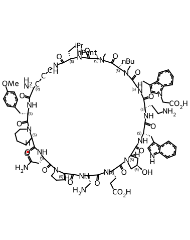 CCCCC[C@H]1C(=O)N[C@@H](CC(C)C)C(=O)NCCC[C@@H](N)C(=O)N[C@@H](Cc2ccc(OC)cc2)C(=O)N2CCCC[C@H]2C(=O)N[C@@H](CC(N)=O)C(=O)N2CCC[C@H]2C(=O)N[C@@H](CN)C(=O)N[C@@H](CCC(=O)O)C(=O)N2C[C@H](O)C[C@H]2C(=O)N[C@@H](Cc2c[nH]c3ccccc23)C(=O)N[C@@H](CCN)C(=O)N[C@@H](Cc2cn(CC(=O)O)c3ccccc23)C(=O)N(C)[C@@H](CCCC)C(=O)N1C